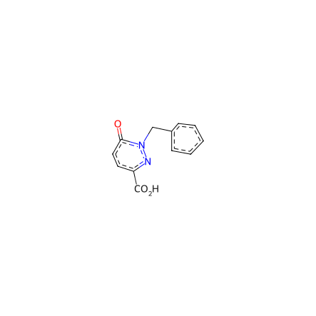 O=C(O)c1ccc(=O)n(Cc2ccccc2)n1